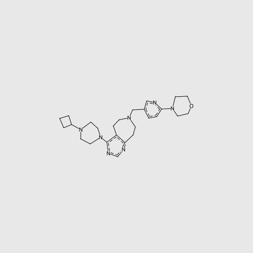 c1nc2c(c(N3CCN(C4CCC4)CC3)n1)CCN(Cc1ccc(N3CCOCC3)nc1)CC2